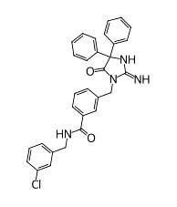 N=C1NC(c2ccccc2)(c2ccccc2)C(=O)N1Cc1cccc(C(=O)NCc2cccc(Cl)c2)c1